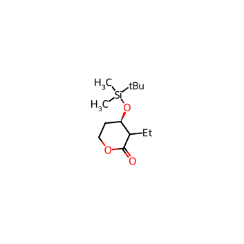 CCC1C(=O)OCC[C@H]1O[Si](C)(C)C(C)(C)C